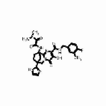 Cc1cc(CNC(=O)c2nc3n(c(=O)c2O)CC2(c4ncc[nH]4)CCC3(NC(=O)C(=O)N(C)C)CC2)ccc1F